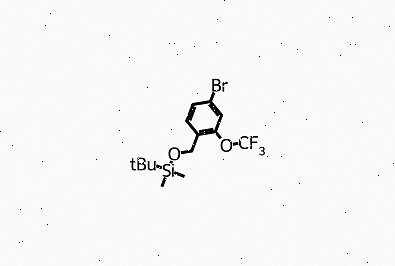 CC(C)(C)[Si](C)(C)OCc1ccc(Br)cc1OC(F)(F)F